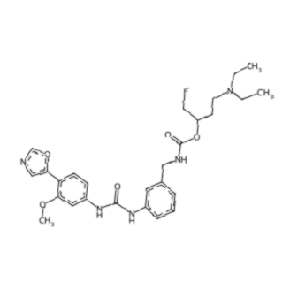 CCN(CC)CCC(CF)OC(=O)NCc1cccc(NC(=O)Nc2ccc(-c3cnco3)c(OC)c2)c1